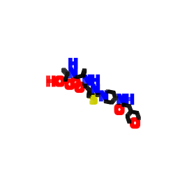 C=C(NC(=O)C(=C)NC(=O)c1csc(N2CCC(NC(=O)CC3CCOCC3)CC2)n1)C(=O)O